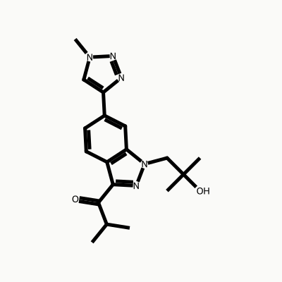 CC(C)C(=O)c1nn(CC(C)(C)O)c2cc(-c3cn(C)nn3)ccc12